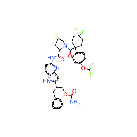 NC(=O)OCC(Cc1ccccc1)c1cc2nc(NC(=O)[C@H]3C[C@@H](F)CN3C(=O)C3(c4ccc(OC(F)F)cc4)CCC(F)(F)CC3)ccc2[nH]1